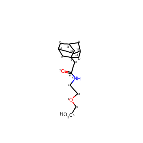 O=C(O)COCCNC(=O)CC12CC3CC(CC(C3)C1)C2